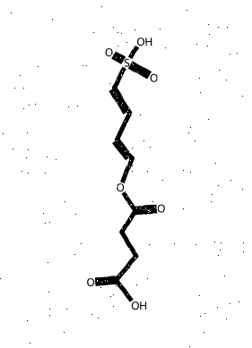 O=C(O)CCC(=O)OC=CC=CS(=O)(=O)O